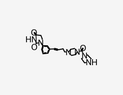 O=C1CCN(c2cccc(C#CCCN3CCN(C(=O)N4CCNCC4)CC3)c2)C(=O)N1